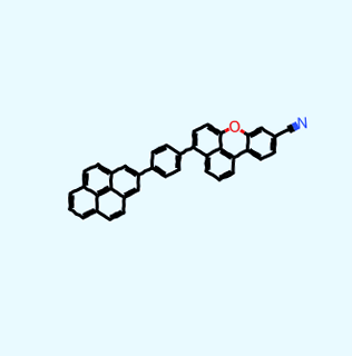 N#Cc1ccc2c(c1)Oc1ccc(-c3ccc(-c4cc5ccc6cccc7ccc(c4)c5c67)cc3)c3cccc-2c13